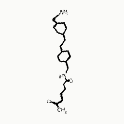 CC(=O)CCCCC(=O)NCC1CCC(CCC2CCC(CN)CC2)CC1